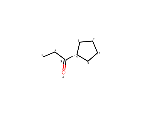 CCC(=O)[C@H]1C[CH]CC1